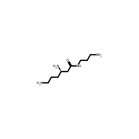 NCCCNC(=O)C[C@H](N)CCCN